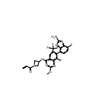 C=CC(=O)N1CC(Oc2nc(OC)nc3c(F)c(-c4ccc(F)c5sc(N)nc45)c(C(F)(F)F)cc23)C1